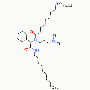 CCCCCCCC/C=C\CCCCCCCC(=O)N(CCCN(CC)CC)C(C(=O)NCCCCCCCCCCCCCCCCCC)C1CCCCC1